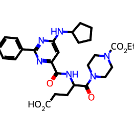 CCOC(=O)N1CCN(C(=O)C(CCC(=O)O)NC(=O)c2cc(NC3CCCC3)nc(-c3ccccc3)n2)CC1